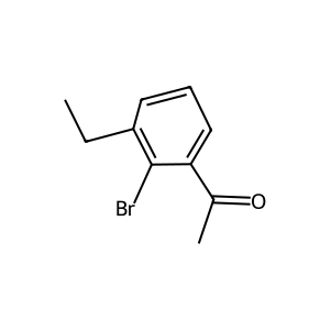 CCc1cccc(C(C)=O)c1Br